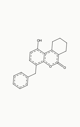 O=c1oc2c(Cc3ccccc3)ccc(O)c2c2c1CCCC2